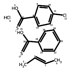 CC=CC.Cl.OC(=S)c1ccc(Cl)cc1.OC(=S)c1ccccc1